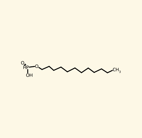 CCCCCCCCCCCCO[PH](=O)O